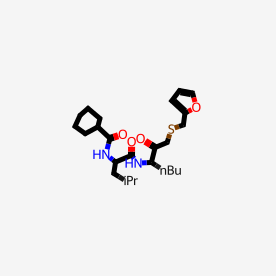 CCCCC(NC(=O)C(CC(C)C)NC(=O)C1CCCCC1)C(=O)CSCc1ccco1